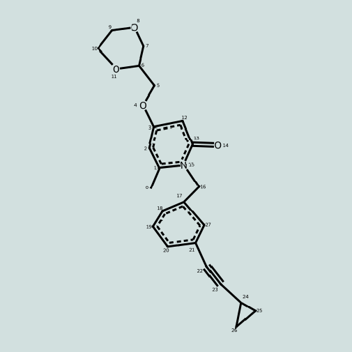 Cc1cc(OCC2COCCO2)cc(=O)n1Cc1cccc(C#CC2CC2)c1